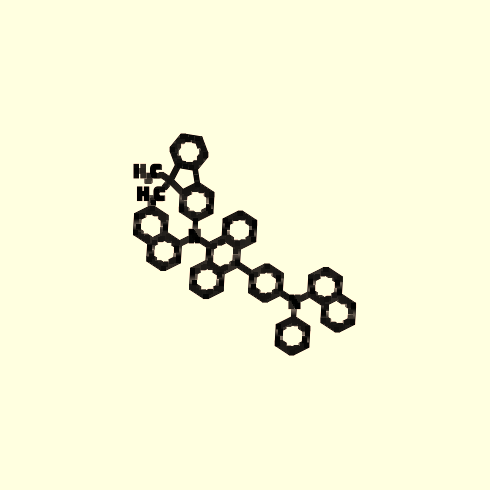 CC1(C)c2ccccc2-c2ccc(N(c3cccc4ccccc34)c3c4ccccc4c(-c4ccc(N(c5ccccc5)c5cccc6ccccc56)cc4)c4ccccc34)cc21